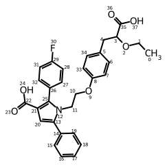 CCOC(Cc1ccc(OCCn2c(-c3ccccc3)cc(C(=O)O)c2-c2ccc(F)cc2)cc1)C(=O)O